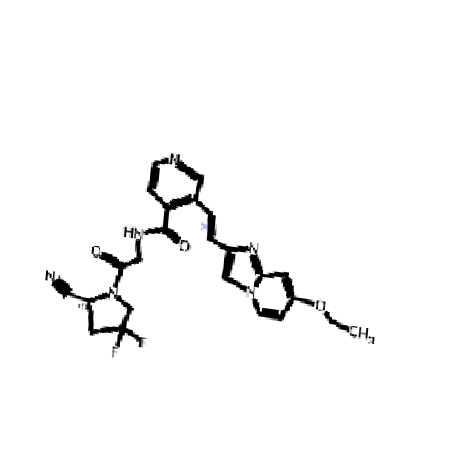 CCOc1ccn2cc(/C=C/c3cnccc3C(=O)NCC(=O)N3CC(F)(F)C[C@H]3C#N)nc2c1